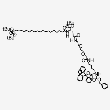 CC(C)(C)OC(=O)[C@H](CCC(=O)NCCOCCOCC(=O)NCCCC[C@H](NC(=O)OCc1ccccc1)C(=O)OC(c1ccccc1)(c1ccccc1)c1ccccc1Cl)NC(=O)CCCCCCCCCCCCCCCCCCP(=O)(OC(C)(C)C)OC(C)(C)C